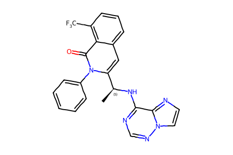 C[C@H](Nc1ncnn2ccnc12)c1cc2cccc(C(F)(F)F)c2c(=O)n1-c1ccccc1